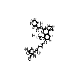 COc1c(OCCCC(=O)N2C[C@H]3C[C@@H]2C(=O)O3)ccc2c1N=C(NC(=O)c1cccnc1)N1CCN=C21